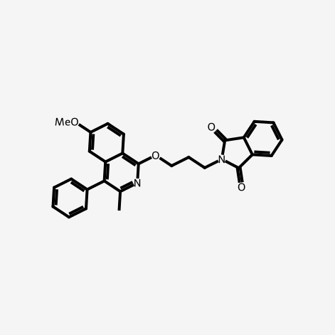 COc1ccc2c(OCCCN3C(=O)c4ccccc4C3=O)nc(C)c(-c3ccccc3)c2c1